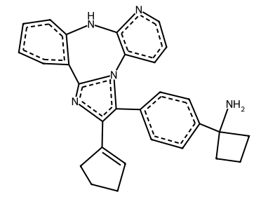 NC1(c2ccc(-c3c(C4=CCCC4)nc4n3-c3cccnc3Nc3ccccc3-4)cc2)CCC1